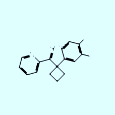 O/N=C(/c1ccccn1)C1(c2ccc(Cl)c(Cl)c2)CCC1